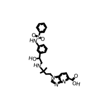 CC(C)(CCn1cnc2nc(C(=O)O)ccc21)NCC(O)c1cccc(NS(=O)(=O)c2ccccc2)c1